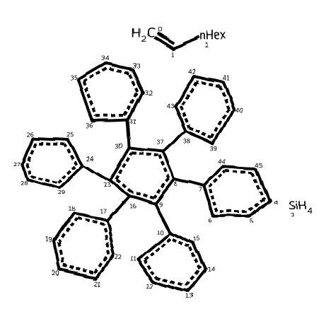 C=CCCCCCC.[SiH4].c1ccc(-c2c(-c3ccccc3)c(-c3ccccc3)c(-c3ccccc3)c(-c3ccccc3)c2-c2ccccc2)cc1